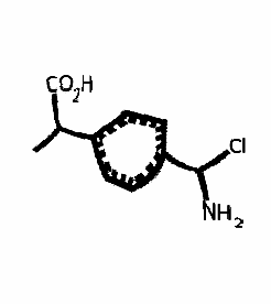 CC(C(=O)O)c1ccc(C(N)Cl)cc1